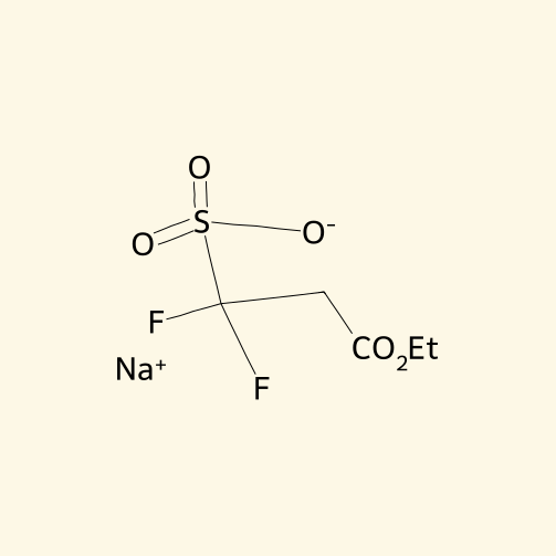 CCOC(=O)CC(F)(F)S(=O)(=O)[O-].[Na+]